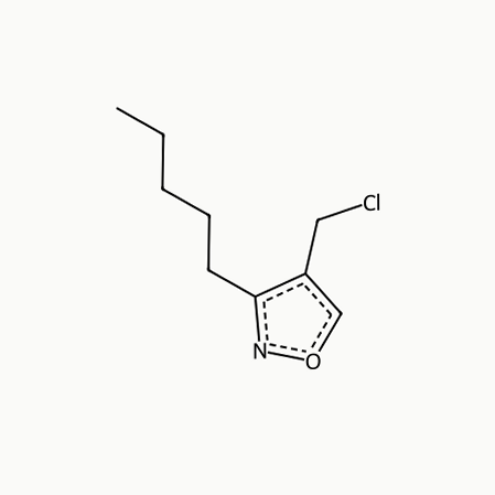 CCCCCc1nocc1CCl